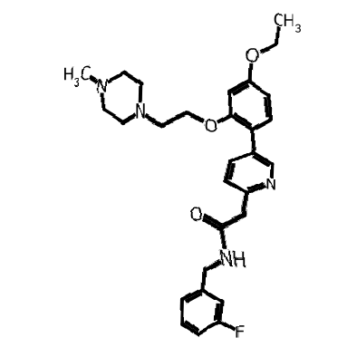 CCOc1ccc(-c2ccc(CC(=O)NCc3cccc(F)c3)nc2)c(OCCN2CCN(C)CC2)c1